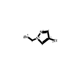 CCc1cnn(CC(C)CC)c1